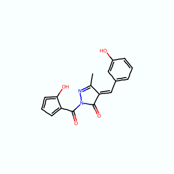 CC1=NN(C(=O)C2=CC=C=C2O)C(=O)/C1=C/c1cccc(O)c1